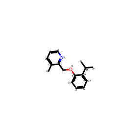 Cc1cccnc1COc1ccccc1C(C)C